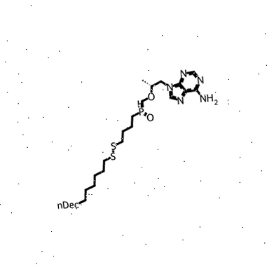 CCCCCCCCCCCCCCCCSSCCCC[PH](=O)CO[C@H](C)Cn1cnc2c(N)ncnc21